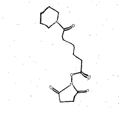 O=C(CCCCC(=O)N1CCCCC1)ON1C(=O)CCC1=O